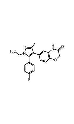 Cc1nn(CC(F)(F)F)c(-c2ccc(F)cc2)c1-c1ccc2c(c1)NC(=O)CO2